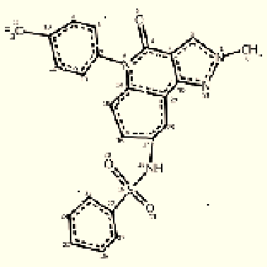 Cn1cc2c(=O)n(-c3ccc(C(F)(F)F)cc3)c3ccc(NS(=O)(=O)c4ccccc4)cc3c2n1